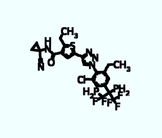 CCc1cc(C(P)(C(F)(F)F)C(F)(F)P)cc(Cl)c1-n1cc(-c2cc(C(=O)NC3(C#N)CC3)c(CC)s2)nn1